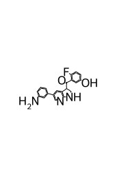 Nc1cccc(-c2cnc3c(c2)C(C(=O)c2cc(O)ccc2F)CN3)c1